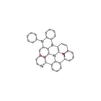 CC1CC=CC2=C1N(c1c(-c3ccccn3)cccc1-c1ccccn1)c1cccc3c1B2c1ccccc1N3c1ccccc1